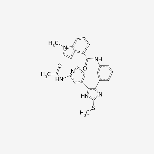 CSc1nc(-c2cccc(NC(=O)c3cccc4c3ccn4C)c2)c(-c2ccnc(NC(C)=O)c2)[nH]1